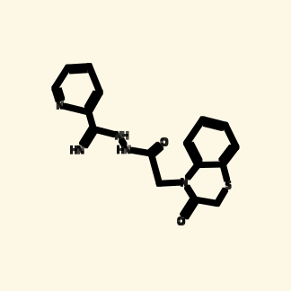 N=C(NNC(=O)CN1C(=O)CSc2ccccc21)c1ccccn1